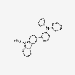 CC(C)(C)n1c2ccccc2c2cc(-c3cccc(N(c4ccccc4)c4ccccc4)c3)ccc21